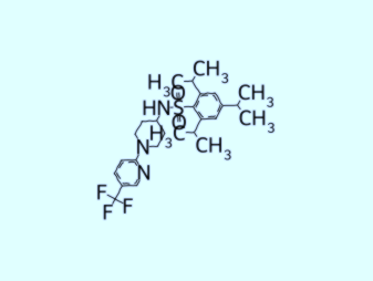 CC(C)c1cc(C(C)C)c(S(=O)(=O)NC2CCN(c3ccc(C(F)(F)F)cn3)CC2)c(C(C)C)c1